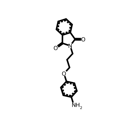 Nc1ccc(OCCCN2C(=O)c3ccccc3C2=O)cc1